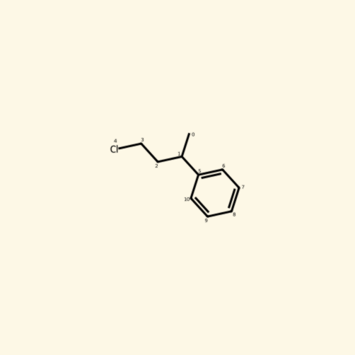 CC(CCCl)c1ccccc1